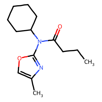 CCCC(=O)N(c1nc(C)co1)C1CCCCC1